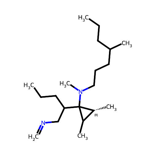 C=NCC(CCC)C1(N(C)CCCC(C)CCC)C(C)[C@H]1C